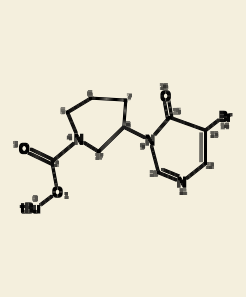 CC(C)(C)OC(=O)N1CCCC(n2cncc(Br)c2=O)C1